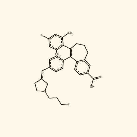 Cc1cc(F)cc(C)c1C1=C(c2ccc(C=C3CCN(CCCF)C3)cc2)c2ccc(C(=O)O)cc2CCC1